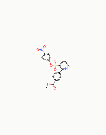 COC(=O)c1ccc(-c2ncccc2S(=O)(=O)Oc2ccc([N+](=O)[O-])cc2)cc1